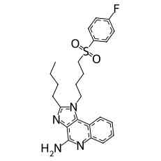 CCCCc1nc2c(N)nc3ccccc3c2n1CCCCS(=O)(=O)c1ccc(F)cc1